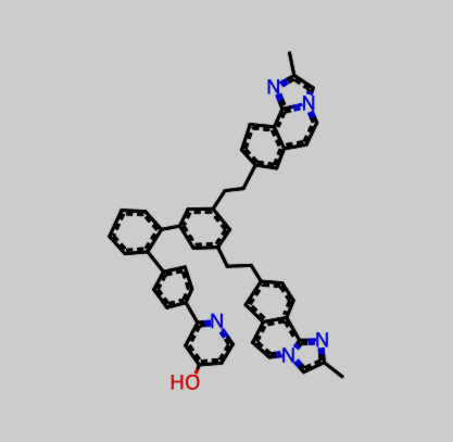 Cc1cn2ccc3cc(CCc4cc(CCc5ccc6c(ccn7cc(C)nc67)c5)cc(-c5ccccc5-c5ccc(-c6cc(O)ccn6)cc5)c4)ccc3c2n1